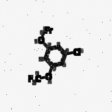 CC(C)Oc1cc(Cl)cc(OC(F)(F)F)c1